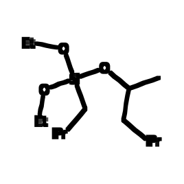 CCO[Si](CC(C)C)(OCC)OC(C)CC(C)C